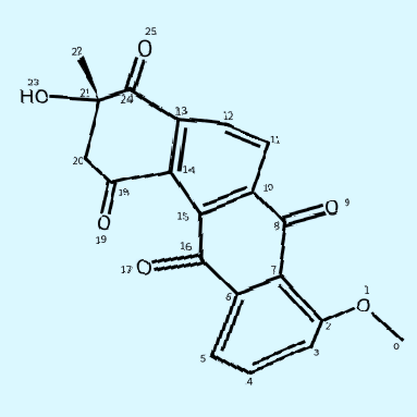 COc1cccc2c1C(=O)c1ccc3c(c1C2=O)C(=O)C[C@](C)(O)C3=O